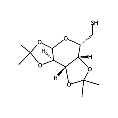 CC1(C)O[C@@H]2[C@H](O1)[C@H]1OC(C)(C)OC1O[C@@H]2CS